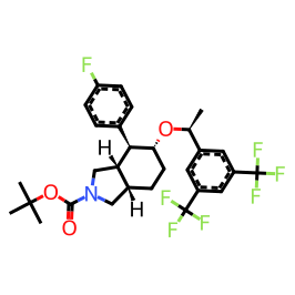 C[C@H](O[C@@H]1CC[C@@H]2CN(C(=O)OC(C)(C)C)C[C@@H]2[C@H]1c1ccc(F)cc1)c1cc(C(F)(F)F)cc(C(F)(F)F)c1